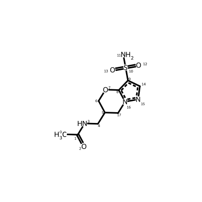 CC(=O)NCC1COc2c(S(N)(=O)=O)cnn2C1